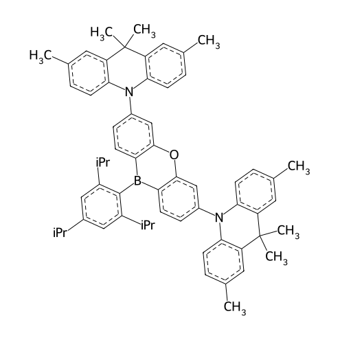 Cc1ccc2c(c1)C(C)(C)c1cc(C)ccc1N2c1ccc2c(c1)Oc1cc(N3c4ccc(C)cc4C(C)(C)c4cc(C)ccc43)ccc1B2c1c(C(C)C)cc(C(C)C)cc1C(C)C